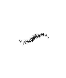 CCCCCCCC1CCC(c2ccc(C(=O)OC3CCC(CCCC)CC3)cc2)CC1